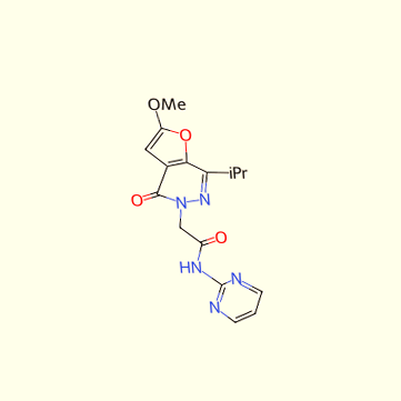 COc1cc2c(=O)n(CC(=O)Nc3ncccn3)nc(C(C)C)c2o1